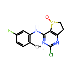 Cc1ccc(F)cc1Nc1nc(Cl)nc2c1[S+]([O-])CC2